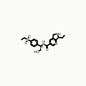 CCC1NCc2cc(C(=O)N[C@@H](CO)c3ccc(S(=O)(=O)CC)cc3)cnc21